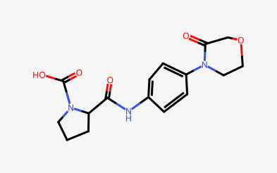 O=C(Nc1ccc(N2CCOCC2=O)cc1)C1CCCN1C(=O)O